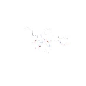 CC(C)CCNC(=O)NC(=O)[C@@H]1CCCN1C(=O)[C@H](CC1CCCC1)CN(O)C=O